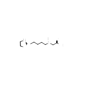 C1=NCCO1.CCCCCNCC(=O)O